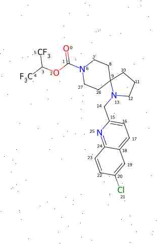 O=C(OC(C(F)(F)F)C(F)(F)F)N1CCC2(CCCN2Cc2ccc3cc(Cl)ccc3n2)CC1